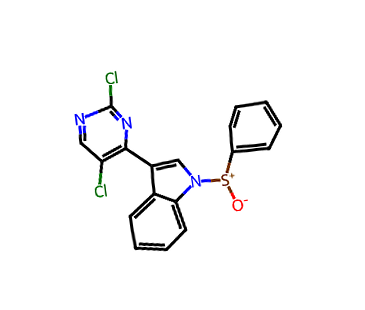 [O-][S+](c1ccccc1)n1cc(-c2nc(Cl)ncc2Cl)c2ccccc21